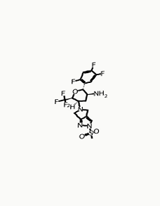 [2H][C@@]1(N2Cc3cn(S(C)(=O)=O)nc3C2)C[C@H](N)[C@@H](c2cc(F)c(F)cc2F)O[C@@H]1C(F)(F)F